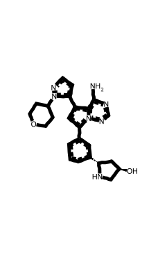 Nc1ncnn2c(-c3cccc([C@@H]4C[C@@H](O)CN4)c3)cc(-c3ccnn3C3CCOCC3)c12